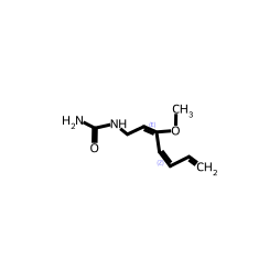 C=C/C=C\C(=C/CNC(N)=O)OC